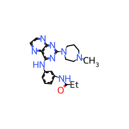 CCC(=O)Nc1cccc(Nc2nc(N3CCCN(C)CC3)nc3nccnc23)c1